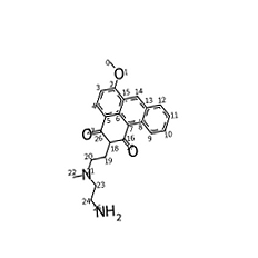 COc1ccc2c3c(c4ccccc4cc13)C(=O)C(CCN(C)CCN)C2=O